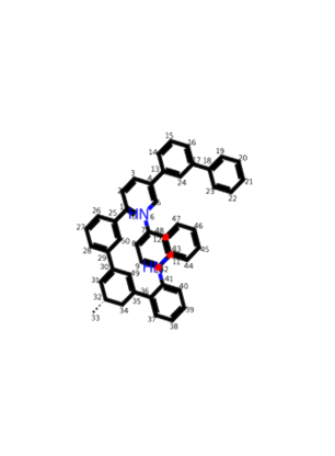 C=C(/C=C\C(=C/Nc1ccccc1)c1cccc(-c2ccccc2)c1)c1cccc(C2=C[C@@H](C)CC(c3ccccc3Nc3ccccc3)=C2)c1